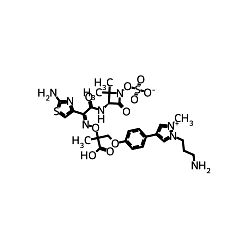 C[n+]1cc(-c2ccc(OCC(C)(O/N=C(\C(=O)N[C@@H]3C(=O)N(OS(=O)(=O)[O-])C3(C)C)c3csc(N)n3)C(=O)O)cc2)cn1CCCN